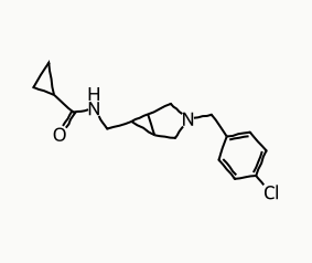 O=C(NCC1C2CN(Cc3ccc(Cl)cc3)CC12)C1CC1